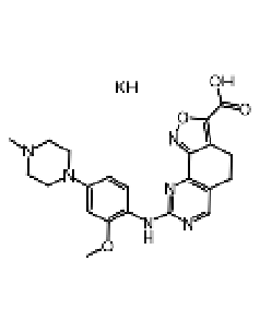 COc1cc(N2CCN(C)CC2)ccc1Nc1ncc2c(n1)-c1noc(C(=O)O)c1CC2.[KH]